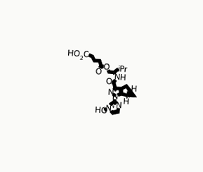 CC(C)C(COC(=O)CCCC(=O)O)NC(=O)c1nn(-c2c[n+](O)ccn2)c2c1C[C@H]1C[C@@H]21